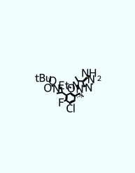 CCOc1c([C@H](C)n2nc(C)c3c(N)ncnc32)cc(Cl)c(F)c1C1CN(C(=O)OC(C)(C)C)C1